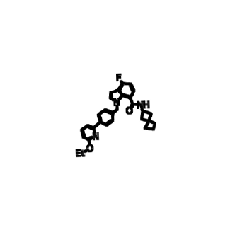 CCOc1cccc(-c2ccc(Cn3ccc4c(F)ccc(C(=O)NC5CC6(CCC6)C5)c43)cc2)n1